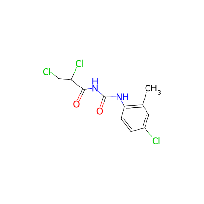 Cc1cc(Cl)ccc1NC(=O)NC(=O)C(Cl)CCl